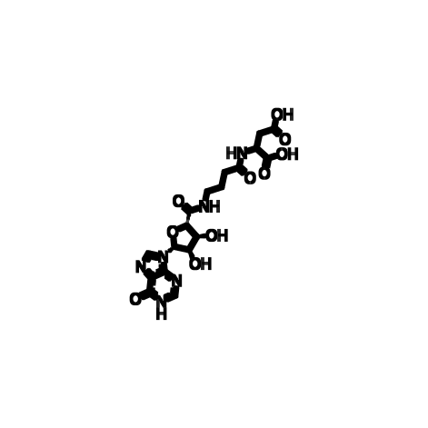 O=C(O)CC(NC(=O)CCCNC(=O)[C@H]1O[C@@H](n2cnc3c(=O)[nH]cnc32)[C@H](O)[C@@H]1O)C(=O)O